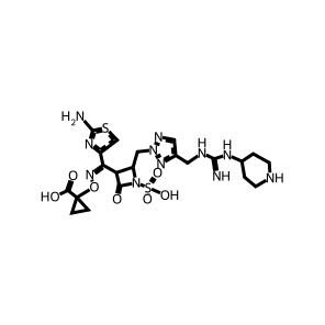 N=C(NCc1cnn(CC2C(/C(=N\OC3(C(=O)O)CC3)c3csc(N)n3)C(=O)N2S(=O)(=O)O)n1)NC1CCNCC1